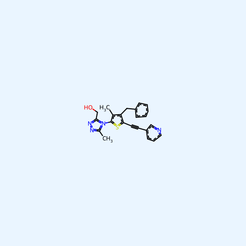 Cc1c(-n2c(C)nnc2CO)sc(C#Cc2cccnc2)c1Cc1ccccc1